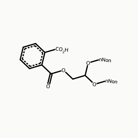 CCCCCCCCCOC(COC(=O)c1ccccc1C(=O)O)OCCCCCCCCC